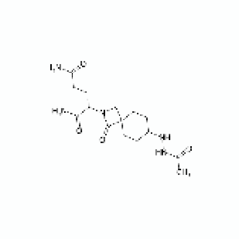 CC(=O)NNC1CCC2(CC1)CN([C@@H](CCC(N)=O)C(N)=O)C2=O